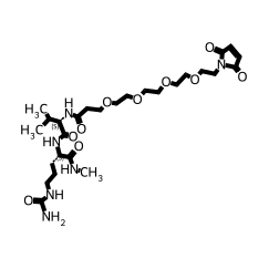 CNC(=O)[C@H](CCCNC(N)=O)NC(=O)[C@@H](NC(=O)CCOCCOCCOCCOCCN1C(=O)C=CC1=O)C(C)C